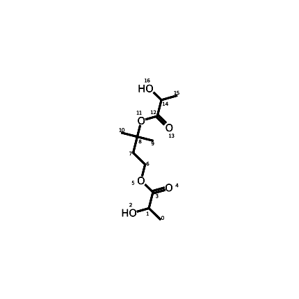 CC(O)C(=O)OCCC(C)(C)OC(=O)C(C)O